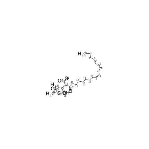 CCCCC/C=C\C/C=C\CCCCCCCC(=O)C(C(=O)[O-])C(O)C[N+](C)(C)C